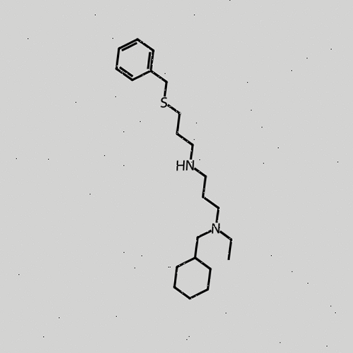 CCN(CCCNCCCSCc1ccccc1)CC1CCCCC1